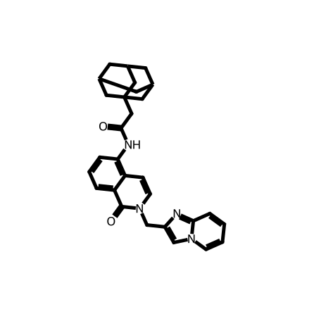 O=C(CC12CC3CC(CC(C3)C1)C2)Nc1cccc2c(=O)n(Cc3cn4ccccc4n3)ccc12